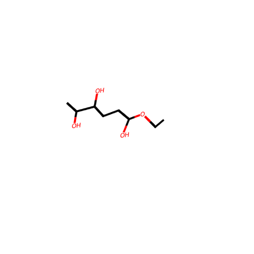 CCOC(O)CCC(O)C(C)O